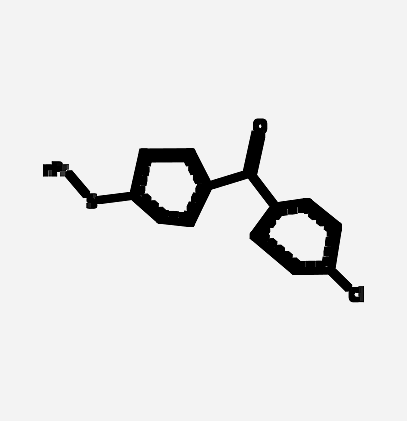 CCCSc1ccc(C(=O)c2ccc(Cl)cc2)cc1